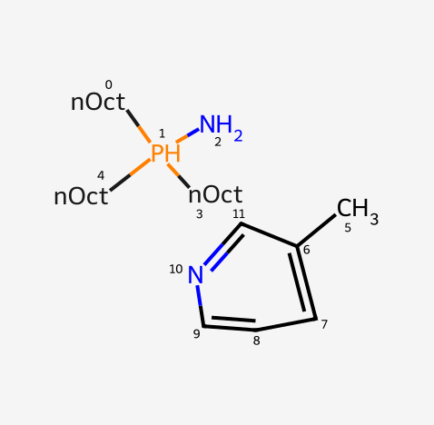 CCCCCCCC[PH](N)(CCCCCCCC)CCCCCCCC.Cc1cccnc1